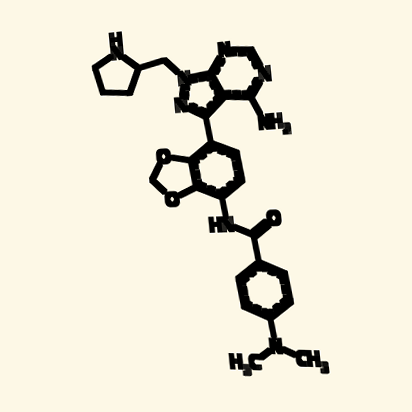 CN(C)c1ccc(C(=O)Nc2ccc(-c3nn(CC4CCCN4)c4ncnc(N)c34)c3c2OCO3)cc1